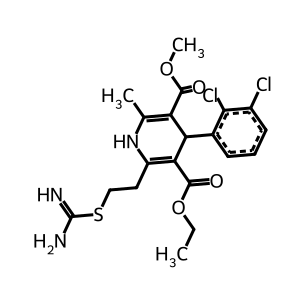 CCOC(=O)C1=C(CCSC(=N)N)NC(C)=C(C(=O)OC)C1c1cccc(Cl)c1Cl